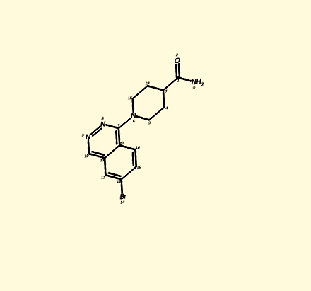 NC(=O)C1CCN(c2nncc3cc(Br)ccc23)CC1